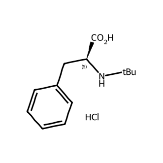 CC(C)(C)N[C@@H](Cc1ccccc1)C(=O)O.Cl